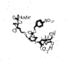 CNC(=O)ON(C)C(=O)CCSC[C@@H]1C[C@H](SC2=C(C(=O)O)N3C(=O)[C@H]([C@@H](C)O)[C@H]3[C@H]2C)CN1C(=O)OCc1ccc([N+](=O)[O-])cc1